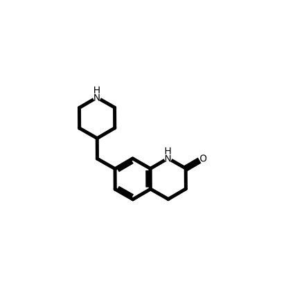 O=C1CCc2ccc(CC3CCNCC3)cc2N1